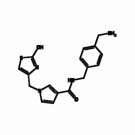 NCc1ccc(CNC(=O)c2ccn(Cc3csc(O)n3)c2)cc1